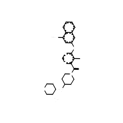 COc1cc(Nc2ncnc(C(=O)N3CCC(N[C@H]4CCOC[C@H]4OC)CC3)c2C)cc2ccccc12